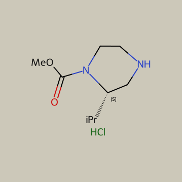 COC(=O)N1CCNC[C@@H]1C(C)C.Cl